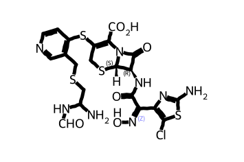 Nc1nc(/C(=N/O)C(=O)N[C@@H]2C(=O)N3C(C(=O)O)=C(Sc4ccncc4CSCC(N)NC=O)CS[C@@H]23)c(Cl)s1